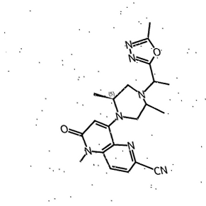 Cc1nnc(C(C)N2C[C@H](C)N(c3cc(=O)n(C)c4ccc(C#N)nc34)CC2C)o1